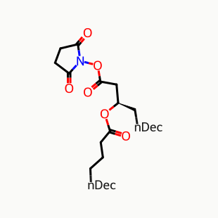 CCCCCCCCCCCCCC(=O)O[C@H](CCCCCCCCCCC)CC(=O)ON1C(=O)CCC1=O